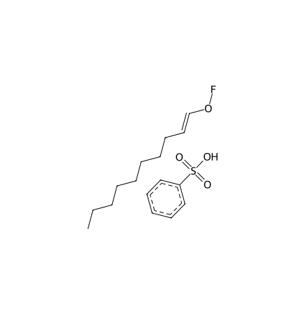 CCCCCCCCC=COF.O=S(=O)(O)c1ccccc1